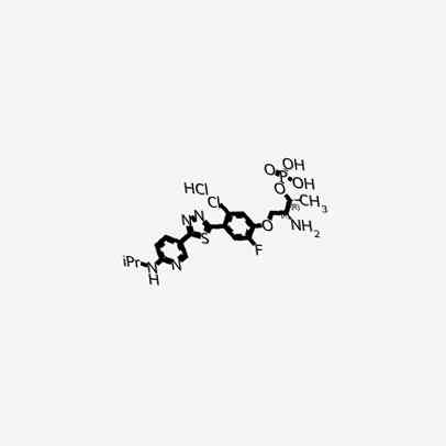 CC(C)Nc1ccc(-c2nnc(-c3cc(F)c(OC[C@@H](N)[C@@H](C)OP(=O)(O)O)cc3Cl)s2)cn1.Cl